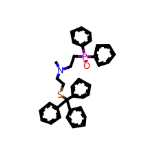 CN(CCSC(c1ccccc1)(c1ccccc1)c1ccccc1)CCP(=O)(c1ccccc1)c1ccccc1